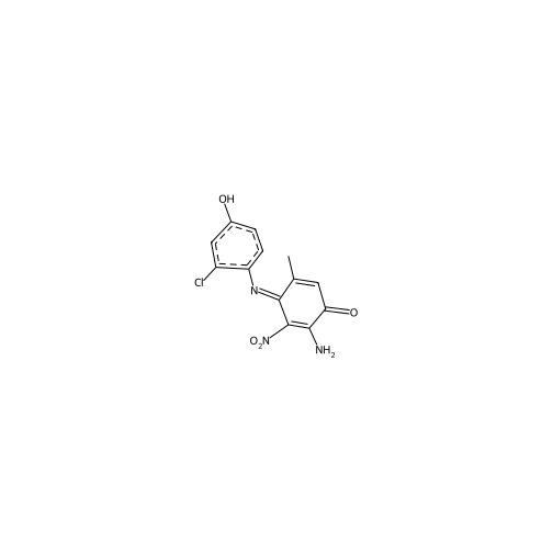 CC1=CC(=O)C(N)=C([N+](=O)[O-])C1=Nc1ccc(O)cc1Cl